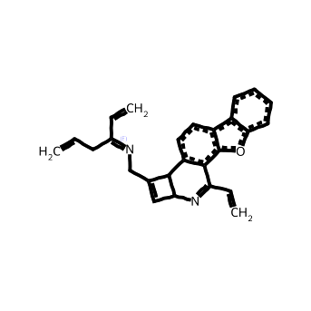 C=CC/C(C=C)=N\CC1=CC2N=C(C=C)c3c(ccc4c3oc3ccccc34)C12